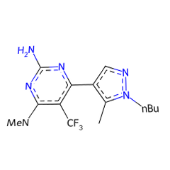 CCCCn1ncc(-c2nc(N)nc(NC)c2C(F)(F)F)c1C